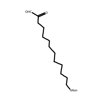 CCCCCCCCCCCCCCCCCCCCC(=O)[C]=O